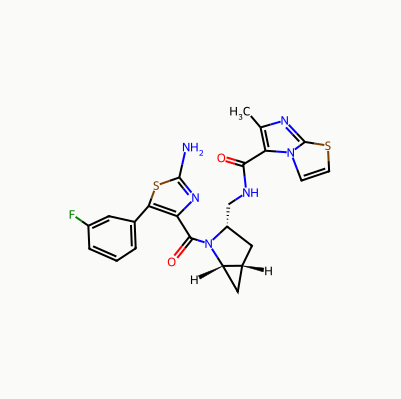 Cc1nc2sccn2c1C(=O)NC[C@@H]1C[C@@H]2C[C@@H]2N1C(=O)c1nc(N)sc1-c1cccc(F)c1